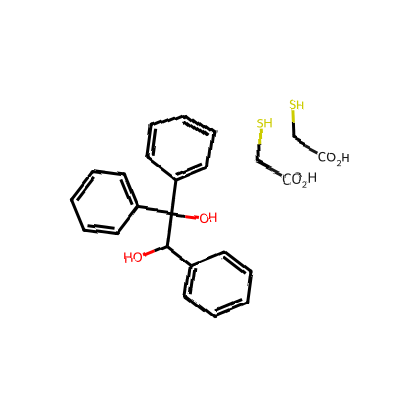 O=C(O)CS.O=C(O)CS.OC(c1ccccc1)C(O)(c1ccccc1)c1ccccc1